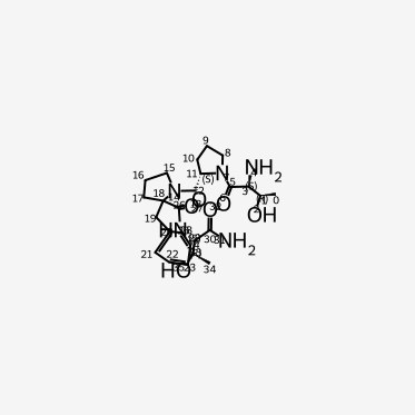 C[C@@H](O)[C@H](N)C(=O)N1CCC[C@H]1C(=O)N1CCCC1(Cc1ccccc1)C(=O)N[C@H](C(N)=O)[C@@H](C)O